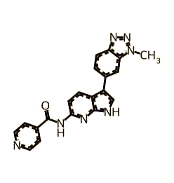 Cn1nnc2ccc(-c3c[nH]c4nc(NC(=O)c5ccncc5)ccc34)cc21